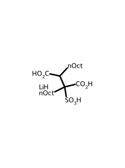 CCCCCCCCC(C(=O)O)C(CCCCCCCC)(C(=O)O)S(=O)(=O)O.[LiH]